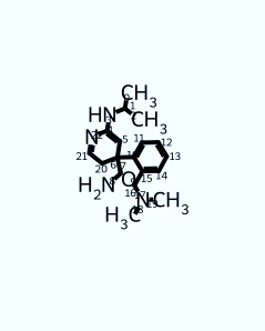 CC(C)NC1=CC(C(N)=O)(c2ccccc2CN(C)C)CC=N1